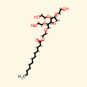 CCCCCCCCCCCCC(=O)OCCOCC(OCCO)C1OCC(OCCO)C1OCCO